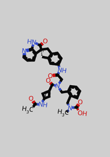 CC(=O)NC12CC(C(=O)N(CC(=O)Nc3ccc4c(c3)C[C@@]3(C4)C(=O)Nc4ncccc43)Cc3ccccc3CN(C)C(=O)O)(C1)C2